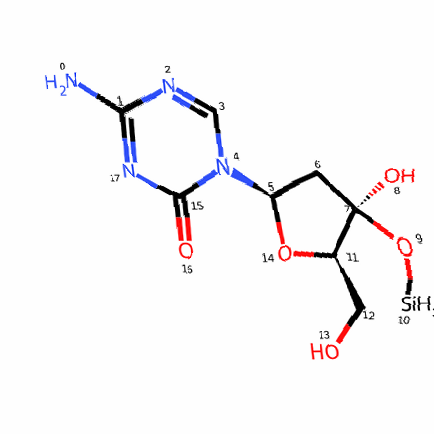 Nc1ncn([C@H]2C[C@@](O)(O[SiH3])[C@@H](CO)O2)c(=O)n1